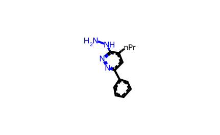 CCCc1cc(-c2ccccc2)nnc1NN